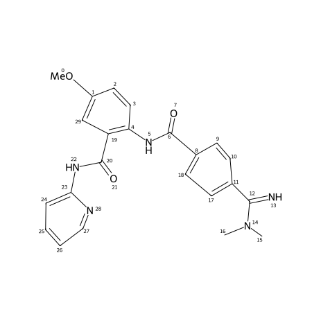 COc1ccc(NC(=O)c2ccc(C(=N)N(C)C)cc2)c(C(=O)Nc2ccccn2)c1